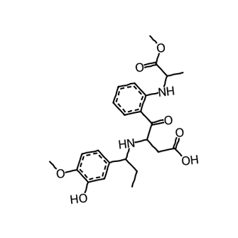 CCC(NC(CC(=O)O)C(=O)c1ccccc1NC(C)C(=O)OC)c1ccc(OC)c(O)c1